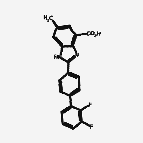 Cc1cc(C(=O)O)c2nc(-c3ccc(-c4cccc(F)c4F)cc3)[nH]c2c1